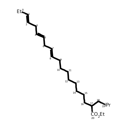 CCC=CCC=CCC=CCCCCCCCCC(CC(C)C)C(=O)OCC